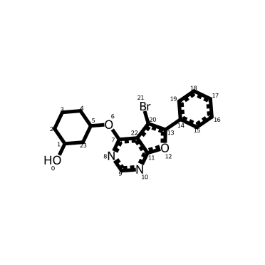 OC1CCCC(Oc2ncnc3oc(-c4ccccc4)c(Br)c23)C1